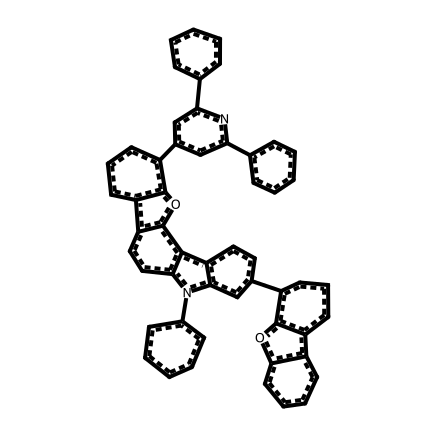 c1ccc(-c2cc(-c3cccc4c3oc3c4ccc4c3c3ccc(-c5cccc6c5oc5ccccc56)cc3n4-c3ccccc3)cc(-c3ccccc3)n2)cc1